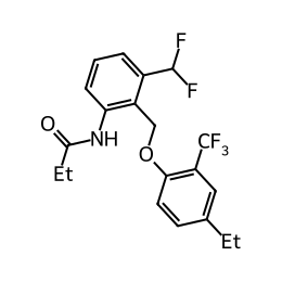 CCC(=O)Nc1cccc(C(F)F)c1COc1ccc(CC)cc1C(F)(F)F